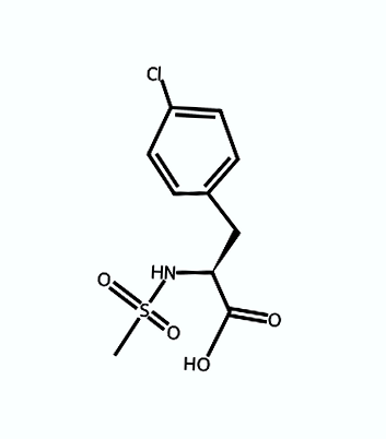 CS(=O)(=O)N[C@@H](Cc1ccc(Cl)cc1)C(=O)O